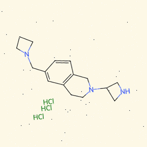 Cl.Cl.Cl.c1cc2c(cc1CN1CCC1)CCN(C1CNC1)C2